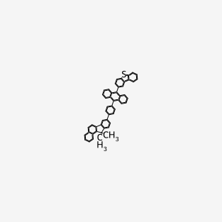 CC1(C)c2ccc(-c3ccc(-c4c5ccccc5c(-c5ccc6sc7ccccc7c6c5)c5ccccc45)cc3)cc2-c2ccc3ccccc3c21